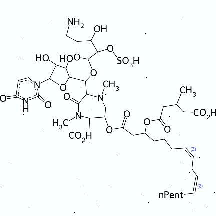 CCCCC/C=C\C/C=C\CCCC(CC(=O)OC1CN(C)C(C(OC2OC(CN)C(O)C2OS(=O)(=O)O)C2OC(n3ccc(=O)[nH]c3=O)C(O)C2O)C(=O)N(C)C1C(=O)O)OC(=O)CC(C)CC(=O)O